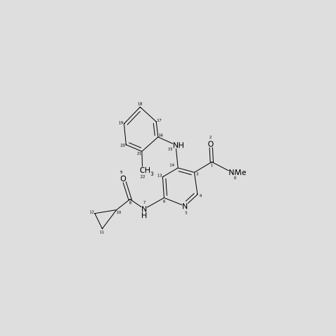 CNC(=O)c1cnc(NC(=O)C2CC2)cc1Nc1ccccc1C